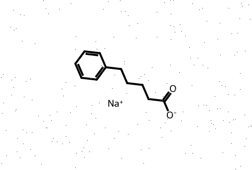 O=C([O-])CCCCc1ccccc1.[Na+]